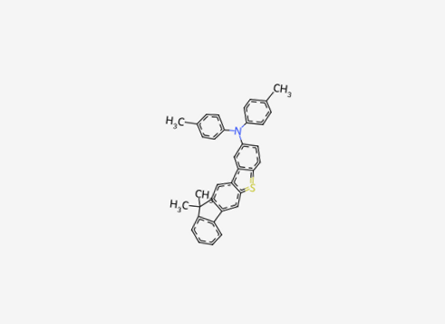 Cc1ccc(N(c2ccc(C)cc2)c2ccc3sc4cc5c(cc4c3c2)C(C)(C)c2ccccc2-5)cc1